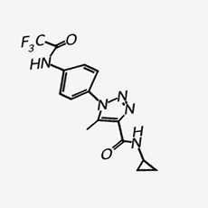 Cc1c(C(=O)NC2CC2)nnn1-c1ccc(NC(=O)C(F)(F)F)cc1